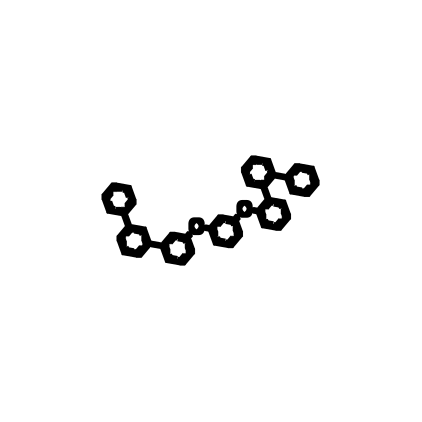 c1ccc(-c2cccc(-c3cccc(Oc4cccc(Oc5ccccc5-c5ccccc5-c5ccccc5)c4)c3)c2)cc1